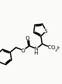 O=C(NC(C(=O)O)c1cccs1)OCc1ccccc1